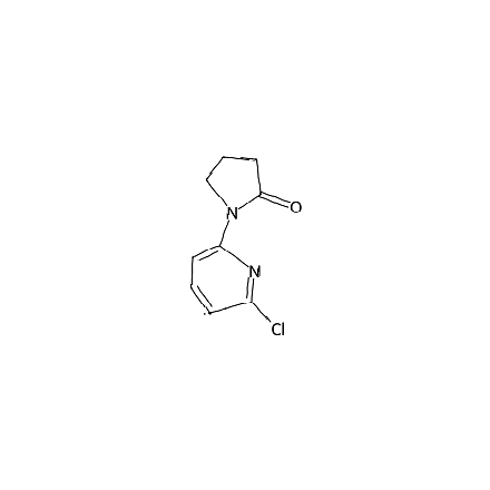 O=C1CCCN1c1cc[c]c(Cl)n1